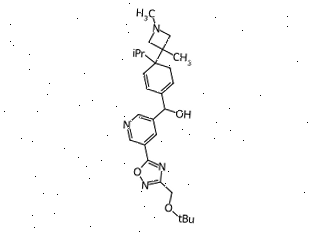 CC(C)C1(C2(C)CN(C)C2)C=CC(C(O)c2cncc(-c3nc(COC(C)(C)C)no3)c2)=CC1